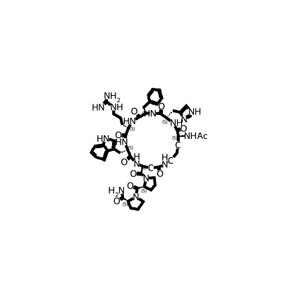 CC(=O)N[C@H]1CCCNC(=O)C[C@@H](C(=O)N2CCC[C@H]2C(=O)N2CCC[C@H]2C(N)=O)NC(=O)[C@H](Cc2c[nH]c3ccccc23)NC(=O)[C@H](CCCNC(=N)N)NC(=O)[C@@H](Cc2ccccc2)NC(=O)[C@H](Cc2c[nH]cn2)NC1=O